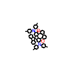 Cc1ccc(N(c2ccc(C)cc2)c2cc3c(c4c2oc2ccccc24)-c2c(cc(N(c4ccc(C)cc4)c4ccc(C)cc4)c4oc5ccccc5c24)C32c3ccccc3-c3ccccc32)cc1